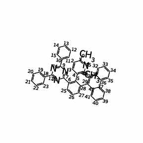 Cc1ccc(-c2c(-c3nc(-c4ccccc4)nc(-c4ccccc4)n3)cccc2-c2cc3ccccc3c3ccccc23)c(C)n1